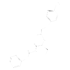 CC(C)C[C@H](NC(C)COc1ccc(C#N)cc1)C(=O)NC(=O)Oc1ccccc1